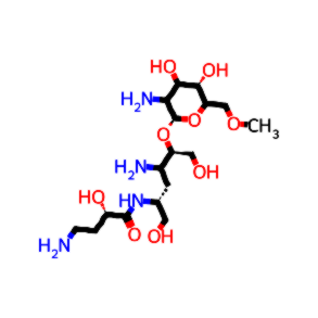 COCC1O[C@H](O[C@@H](CO)C(N)C[C@H](CO)NC(=O)[C@@H](O)CCN)C(N)C(O)[C@@H]1O